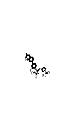 CCC(=O)N1CC[C@@H](Cc2n[nH]c(=O)n2-c2ccc(-c3ccc4cc(C)cnc4c3)cc2F)C1